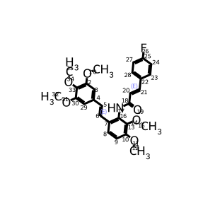 COc1cc(/C=C/c2ccc(OC)c(OC)c2NC(=O)/C=C/c2ccc(F)cc2)cc(OC)c1OC